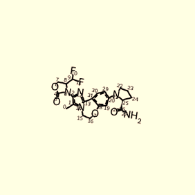 Cc1c(N2C(=O)OCC2C(F)F)nc2n1CCOc1cc(N3CCC[C@H]3C(N)=O)ccc1-2